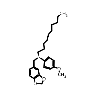 CCCCCCCCCCN(Cc1ccc2c(c1)OCO2)c1ccc(OC)cc1